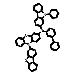 c1ccc(-c2cccc(N(c3ccc4c(c3)Oc3ccccc3N4c3ccc4c(c3)sc3ccccc34)c3ccc4c5ccccc5n(-c5ccccc5)c4c3)c2)cc1